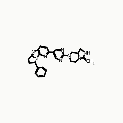 C=C1NCC2CN(c3ncc(-c4ccc5nc6n(c5n4)C(c4ccccc4)CC6)cn3)CCN12